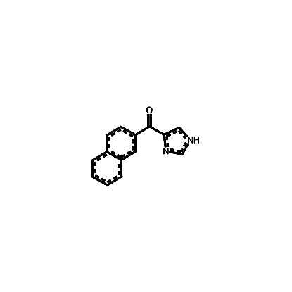 O=C(c1ccc2ccccc2c1)c1c[nH]cn1